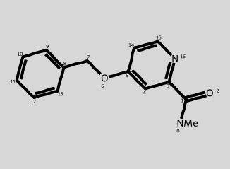 CNC(=O)c1cc(OCc2ccccc2)ccn1